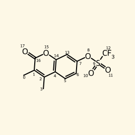 Cc1c(C)c2ccc(OS(=O)(=O)C(F)(F)F)cc2oc1=O